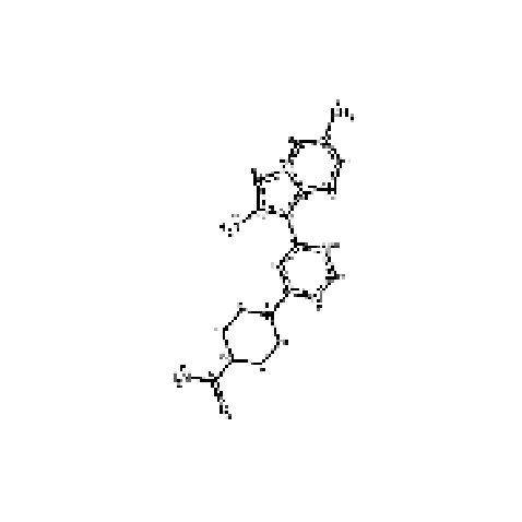 Cc1cnc2c(-c3cc(N4CCC(C(N)=O)CC4)ncn3)c(N)nn2c1